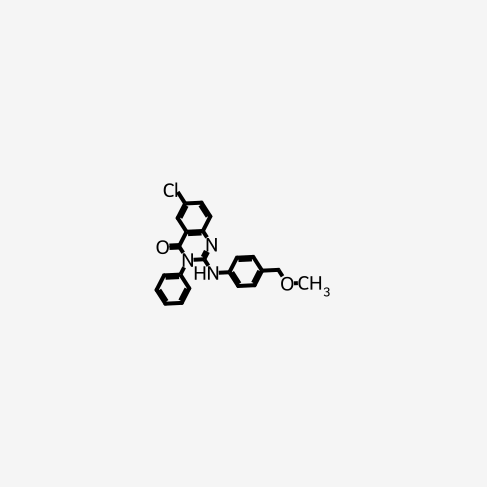 COCc1ccc(Nc2nc3ccc(Cl)cc3c(=O)n2-c2ccccc2)cc1